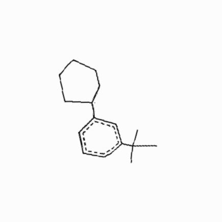 CC(C)(C)c1cccc([C]2CCCCC2)c1